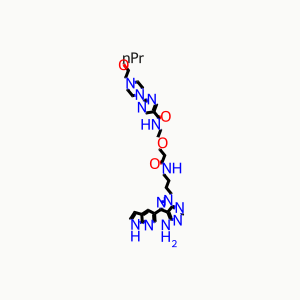 CCCOCCN1CCN(c2ncc(C(=O)NCCOCCC(=O)NCCCCn3nc(-c4cnc5[nH]ccc5c4)c4c(N)ncnc43)cn2)CC1